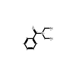 CC(=O)CN(CC(C)=O)C(=O)c1ccccc1